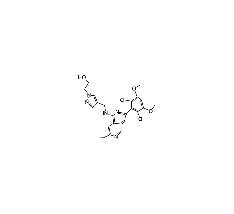 CCc1cc2c(NCc3cnn(CCO)c3)nc(-c3c(Cl)c(OC)cc(OC)c3Cl)cc2cn1